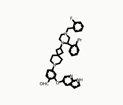 CC(C)c1ccccc1C1CN(Cc2ccccc2F)CCN1C1CC2(CCN(c3ccc(C=O)c(Oc4cnc5[nH]ccc5c4)c3)CC2)C1